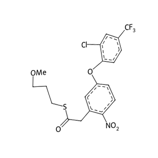 COCCCSC(=O)Cc1cc(Oc2ccc(C(F)(F)F)cc2Cl)ccc1[N+](=O)[O-]